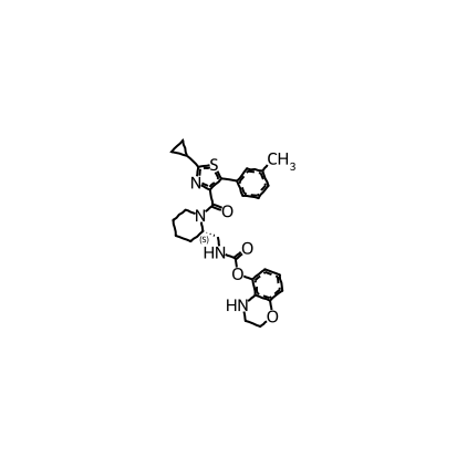 Cc1cccc(-c2sc(C3CC3)nc2C(=O)N2CCCC[C@H]2CNC(=O)Oc2cccc3c2NCCO3)c1